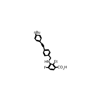 CCCCc1ccc(C#Cc2ccc(CNc3c(F)ccc(C(=O)O)c3CC)cc2)cc1